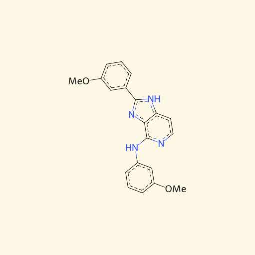 COc1cccc(Nc2nccc3[nH]c(-c4cccc(OC)c4)nc23)c1